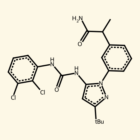 CC(C(N)=O)c1cccc(-n2nc(C(C)(C)C)cc2NC(=O)Nc2cccc(Cl)c2Cl)c1